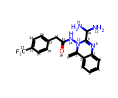 C=C1c2ccccc2N=C(C(N)N)N1NC(=O)Cc1ccc(C(F)(F)F)cc1